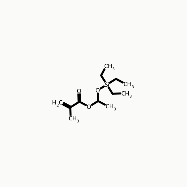 C=C(C)C(=O)OC(C)O[Si](CC)(CC)CC